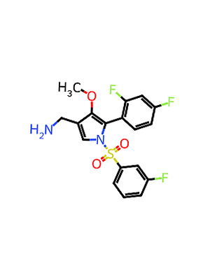 COc1c(CN)cn(S(=O)(=O)c2cccc(F)c2)c1-c1ccc(F)cc1F